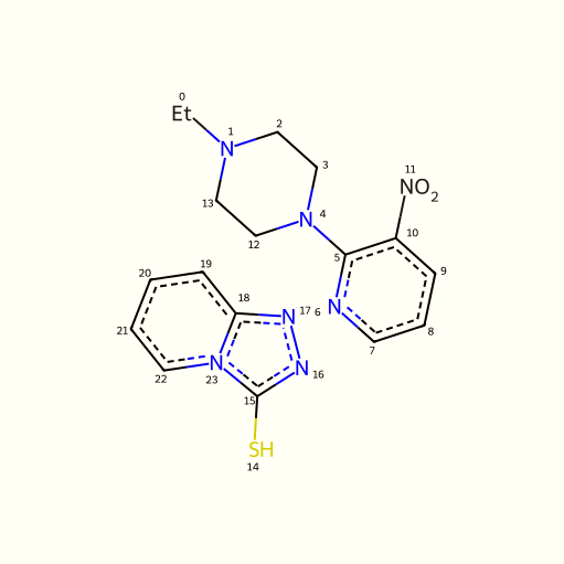 CCN1CCN(c2ncccc2[N+](=O)[O-])CC1.Sc1nnc2ccccn12